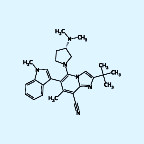 Cc1c(-c2cn(C)c3ccccc23)c(N2CC[C@H](N(C)C)C2)n2cc(C(C)(C)C)nc2c1C#N